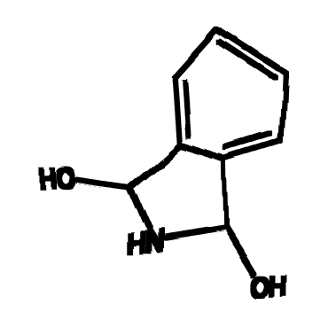 OC1NC(O)c2ccccc21